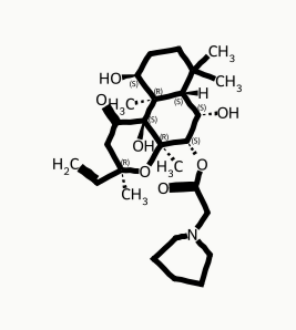 C=C[C@@]1(C)CC(=O)[C@]2(O)[C@@]3(C)[C@@H](O)CCC(C)(C)[C@@H]3[C@H](O)[C@H](OC(=O)CN3CCCCC3)[C@@]2(C)O1